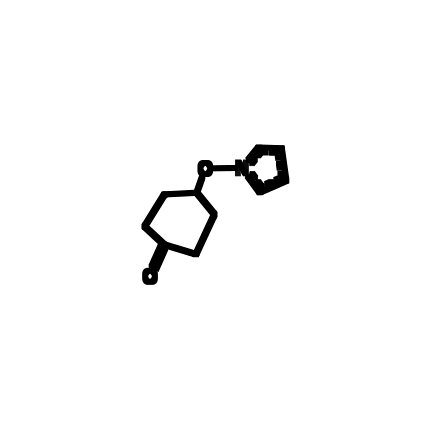 O=C1CCC(On2cccc2)CC1